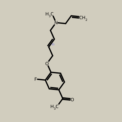 C=CCN(C)C/C=C/COc1ccc(C(C)=O)cc1F